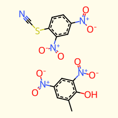 Cc1cc([N+](=O)[O-])cc([N+](=O)[O-])c1O.N#CSc1ccc([N+](=O)[O-])cc1[N+](=O)[O-]